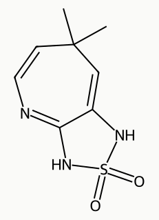 CC1(C)C=CN=C2NS(=O)(=O)NC2=C1